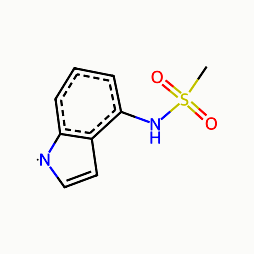 CS(=O)(=O)Nc1cccc2c1C=C[N]2